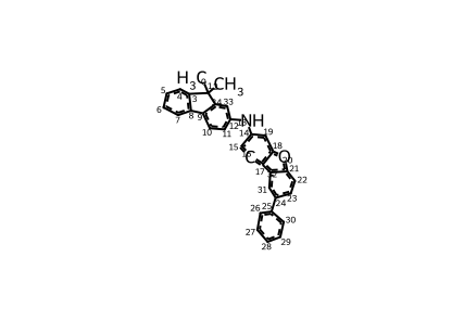 CC1(C)c2ccccc2-c2ccc(Nc3ccc4c(c3)oc3ccc(-c5ccccc5)cc34)cc21